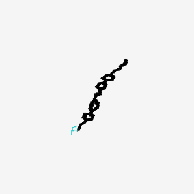 C=CCCCC1CCC(c2ccc(CCc3ccc(-c4ccc(CCCF)cc4)cc3)cc2)CC1